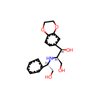 OC[C@@H](N[C@H](CO)[C@H](O)c1ccc2c(c1)OCCO2)c1ccccc1